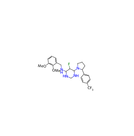 COc1cccc(CNC2NCNC(N3CCCC3c3ccc(C(F)(F)F)cc3)C2F)c1OC